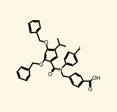 CC(C)c1cc(C(=O)N(Cc2ccc(C(=O)O)cc2)c2ccc(I)cc2)c(OCc2ccccc2)cc1OCc1ccccc1